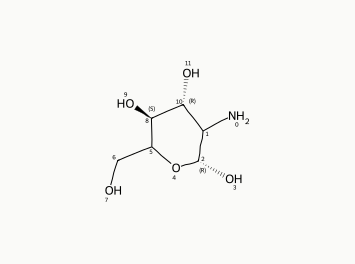 NC1[C@H](O)OC(CO)[C@@H](O)[C@@H]1O